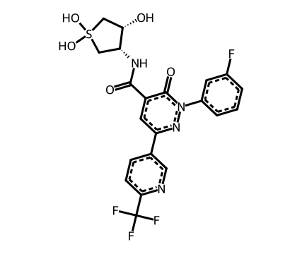 O=C(N[C@@H]1CS(O)(O)C[C@@H]1O)c1cc(-c2ccc(C(F)(F)F)nc2)nn(-c2cccc(F)c2)c1=O